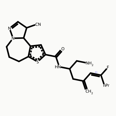 C=C(/C=C(/F)CCC)CC(CN)NC(=O)c1cc2c(s1)CCCN1N=CC(C#N)C21